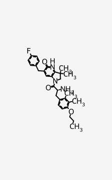 CCCOc1ccc(C[C@H](N)C(=O)N2CC(C)(C)c3[nH]c(=O)c(Cc4ccc(F)cc4)cc32)c(C)c1C